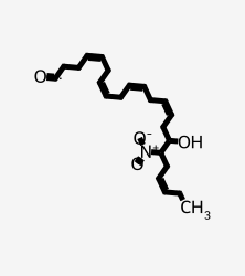 CC/C=C\CC(C(O)C/C=C\C/C=C\C/C=C\C/C=C\CC[C]=O)[N+](=O)[O-]